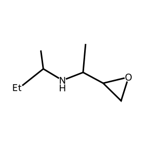 CCC(C)NC(C)C1CO1